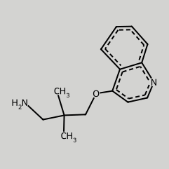 CC(C)(CN)COc1ccnc2ccccc12